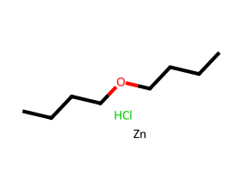 CCCCOCCCC.Cl.[Zn]